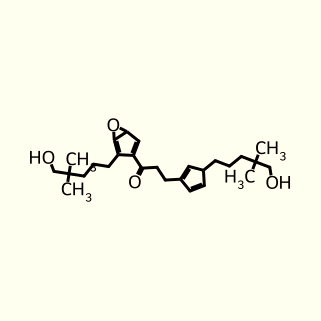 CC(C)(CO)CCCC1=C2OC2C=C1C(=O)CCC1=CC(CCCC(C)(C)CO)C=C1